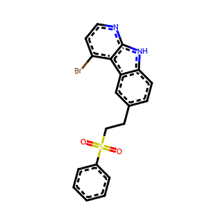 O=S(=O)(CCc1ccc2[nH]c3nccc(Br)c3c2c1)c1ccccc1